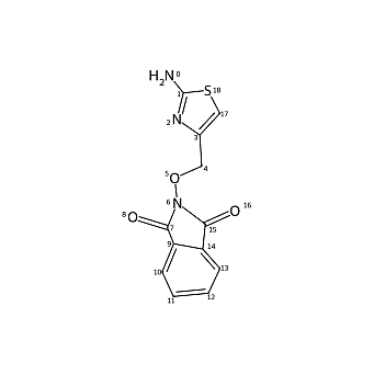 Nc1nc(CON2C(=O)c3ccccc3C2=O)cs1